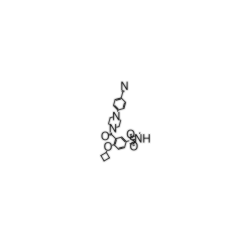 CNS(=O)(=O)c1ccc(OC2CCC2)c(C(=O)N2CCN(c3ccc(C#N)cc3)CC2)c1